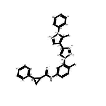 Cc1ccc(NC(=O)C2CC2c2ccccc2)cc1-n1cc(-c2cnn(-c3ccccc3)c2C)nn1